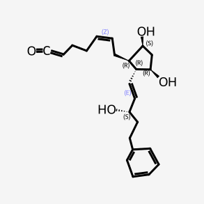 O=C=CCC/C=C\C[C@@H]1[C@@H](/C=C/[C@@H](O)CCc2ccccc2)[C@H](O)C[C@@H]1O